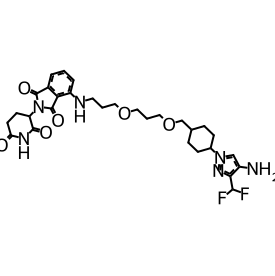 Nc1cn(C2CCC(COCCCOCCCNc3cccc4c3C(=O)N(C3CCC(=O)NC3=O)C4=O)CC2)nc1C(F)F